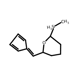 C[SiH2]C1CCCC(C=C2C=CC=C2)O1